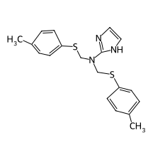 Cc1ccc(SCN(CSc2ccc(C)cc2)c2ncc[nH]2)cc1